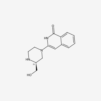 O=c1[nH]c(N2CCN[C@H](CO)C2)cc2ccccc12